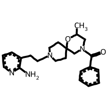 CC1CN(C(=O)c2ccccc2)CC2(CCN(CCc3cccnc3N)CC2)O1